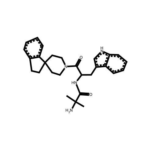 CC(C)(N)C(=O)NC(Cc1c[nH]c2ccccc12)C(=O)N1CCC2(CCc3ccccc32)CC1